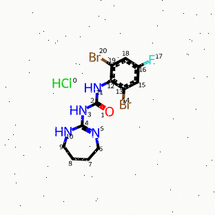 Cl.O=C(NC1=NCCCCN1)Nc1c(Br)cc(F)cc1Br